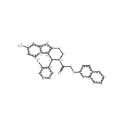 O=C(COc1ccc2ccccc2c1)N1CCc2nc3cc(C(F)(F)F)ccn3c2C1c1ccccc1F